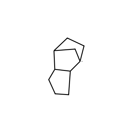 C1CC2[C]3CCC(C3)C2C1